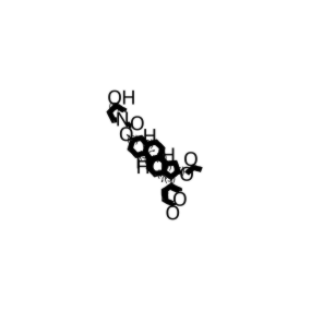 CC(=O)O[C@H]1C[C@]2(O)[C@@H]3CC[C@@H]4C[C@@H](OC(=O)N5CC[C@@H](O)C5)CC[C@]4(C)[C@H]3CC[C@]2(C)[C@H]1c1ccc(=O)oc1